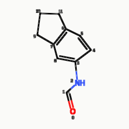 O=[C]Nc1ccc2c(c1)CCC2